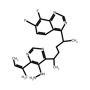 C/C=C(/C)c1ncnc(C(C)CCC(C)c2ncnc3c(F)c(F)ccc23)c1NN